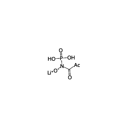 CC(=O)C(=O)N([O-])P(=O)(O)O.[Li+]